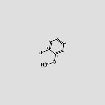 Fc1ccccc1OP